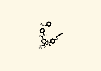 CC#CCOc1ccc(S(=O)(=O)CC2(C(=O)NO)CCN(C(=O)Nc3ccccc3)CC2)cc1.O=C=Nc1ccccc1